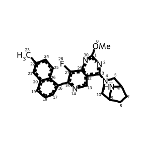 COc1nc(N2CC3CCC(C2)N3)c2cnc(-c3cccc4cc(C)ccc34)c(F)c2n1